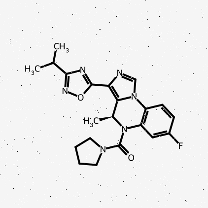 CC(C)c1noc(-c2ncn3c2[C@H](C)N(C(=O)N2CCCC2)c2cc(F)ccc2-3)n1